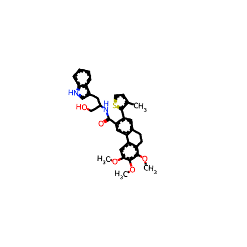 COc1cc2c(c(OC)c1OC)CCc1cc(-c3sccc3C)c(C(=O)NC(CO)Cc3c[nH]c4ccccc34)cc1-2